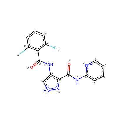 O=C(Nc1ccccn1)c1n[nH]cc1NC(=O)c1c(F)cccc1F